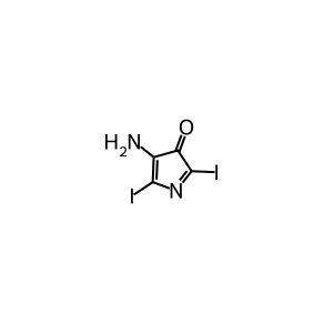 NC1=C(I)N=C(I)C1=O